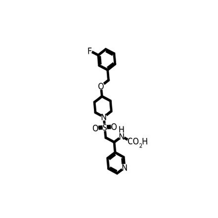 O=C(O)NC(CS(=O)(=O)N1CCC(OCc2cccc(F)c2)CC1)c1cccnc1